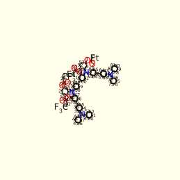 CCC(=O)OC1C=C(N(c2ccc(-c3ccc(N(C4=CC(OC(=O)CC(F)(F)F)CCC4OC(=O)CC(F)(F)F)c4ccc(-c5ccc(N(c6ccccc6)c6ccccc6)cc5)cc4)cc3)cc2)c2ccc(-c3ccc(N(c4ccccc4)c4ccccc4)cc3)cc2)C(OC(=O)CC)CC1